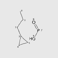 CCCC1CC1.O=PO